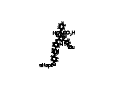 CCCCCCCOc1ccc(-c2cnc(-c3ccc(CC(NC(=O)c4ccc(C(C)(C)C)s4)C(=O)N[C@@H](C(=O)O)[C@@H](O)c4ccccc4)cc3)nc2)cc1